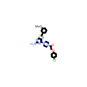 COc1cccc(-c2nc3c(N4CCN(C(=O)COc5ccc(Cl)cc5)CC4)nc(N)nc3s2)c1